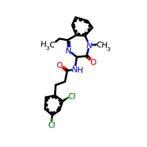 CCC1=NC(NC(=O)CCc2ccc(Cl)cc2Cl)C(=O)N(C)c2ccccc21